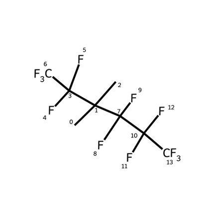 CC(C)(C(F)(F)C(F)(F)F)C(F)(F)C(F)(F)C(F)(F)F